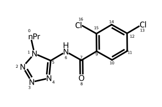 CCCn1nnnc1NC(=O)c1ccc(Cl)cc1Cl